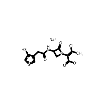 CC(Cl)=C(C(=O)[O-])N1CC(NC(=O)Cc2cscc2S)C1=O.[Na+]